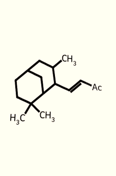 CC(=O)/C=C/C1C(C)CC2CCC(C)(C)C1C2